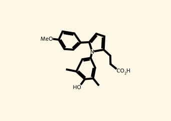 COc1ccc(-c2ccc(CCC(=O)O)n2-c2cc(C)c(O)c(C)c2)cc1